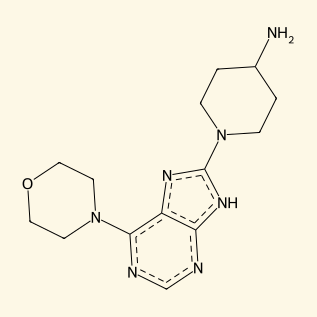 NC1CCN(c2nc3c(N4CCOCC4)ncnc3[nH]2)CC1